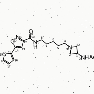 CC(=O)NC1CN(CCCCCNC(=O)c2cc(-c3cccs3)on2)C1